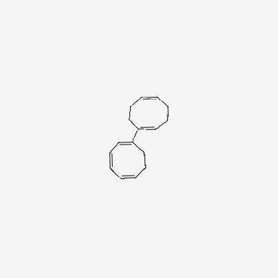 C1=CC=C(C2=CCCC=CCC2)CCC=C1